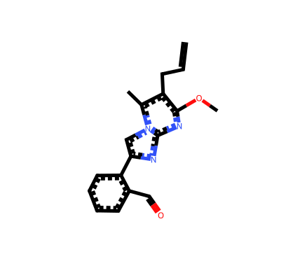 C=CCc1c(OC)nc2nc(-c3ccccc3C=O)cn2c1C